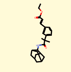 CCOC(=O)/C=C/c1cccc(C(C)(C)C(=O)NC2C3CC4CC(C3)CC2C4)c1